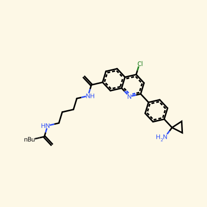 C=C(CCCC)NCCCCNC(=C)c1ccc2c(Cl)cc(-c3ccc(C4(N)CC4)cc3)nc2c1